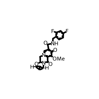 COc1c2n(cc(C(=O)NCc3ccc(F)cc3F)c1=O)CC1O[C@H]3C4C3[C@H]4N1C2=O